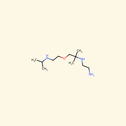 CC(C)NCCOCC(C)(C)NCCN